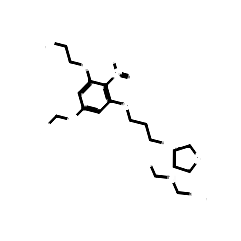 C1CCNC1.CCCCNc1cc(OCC)cc(OCCC)c1[N+](=O)[O-].CCNCC